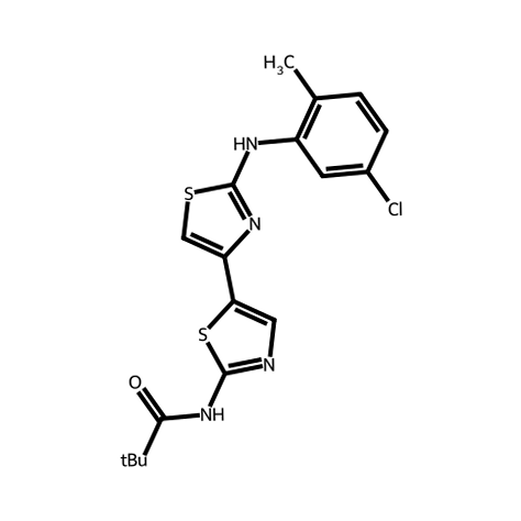 Cc1ccc(Cl)cc1Nc1nc(-c2cnc(NC(=O)C(C)(C)C)s2)cs1